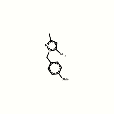 COc1ccc(Cn2nc(C)cc2N)cc1